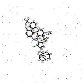 CC1=[C](/[Zr+2](=[CH]/c2ccc(C)cc2)[c]2c(C(C)(C)C)ccc3c2Cc2cc(C(C)(C)C)ccc2-3)C(C)C=C1CC12CC3CC(CC(C3)C1)C2.[Cl-].[Cl-]